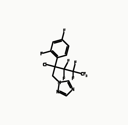 Fc1ccc(C(Cl)(Cn2cncn2)C(F)(F)C(F)(F)C(F)(F)F)c(F)c1